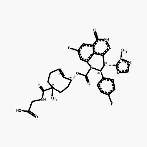 Cn1ncnc1[C@H]1c2n[nH]c(=O)c3cc(F)cc(c23)N(C(=O)O[C@H]2/C=C/CC[C@@](C)(C(=O)NCC(=O)O)CC2)[C@@H]1c1ccc(F)cc1